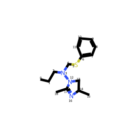 CCCN(CSc1ccccc1)N1CC(C)N=C1C